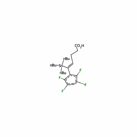 CCC[CH2][Sn]([CH2]CCC)([CH2]CCC)[C](=CCCC(=O)O)c1c(F)c(F)cc(F)c1F